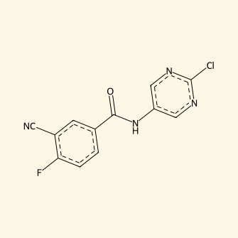 N#Cc1cc(C(=O)Nc2cnc(Cl)nc2)ccc1F